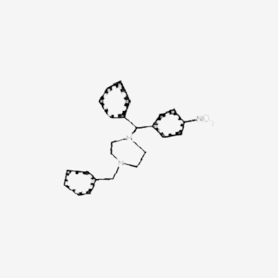 O=[N+]([O-])c1ccc(C(c2ccccc2)N2CCN(Cc3ccccc3)CC2)cc1